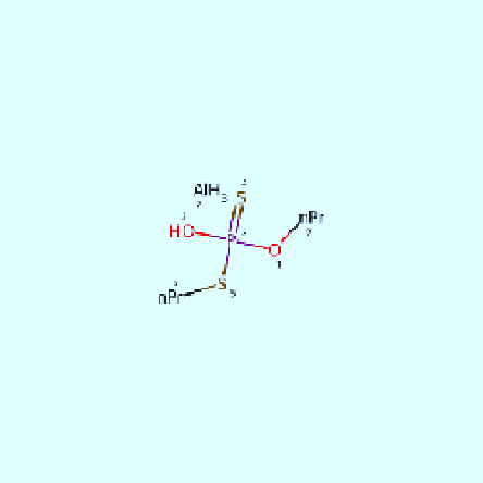 CCCOP(O)(=S)SCCC.[AlH3]